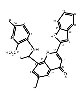 Cc1cc(C(C)Nc2ccc(C)nc2C(=O)O)c2oc(-c3cc4ccccc4[nH]3)cc(=O)c2c1